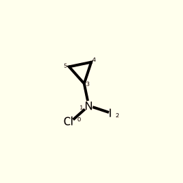 ClN(I)C1CC1